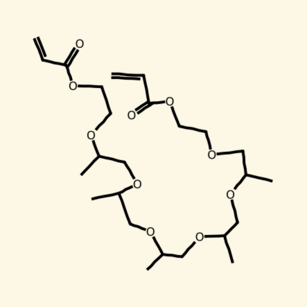 C=CC(=O)OCCOCC(C)OCC(C)OCC(C)OCC(C)OCC(C)OCCOC(=O)C=C